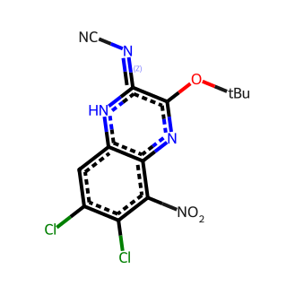 CC(C)(C)Oc1nc2c([N+](=O)[O-])c(Cl)c(Cl)cc2[nH]/c1=N\C#N